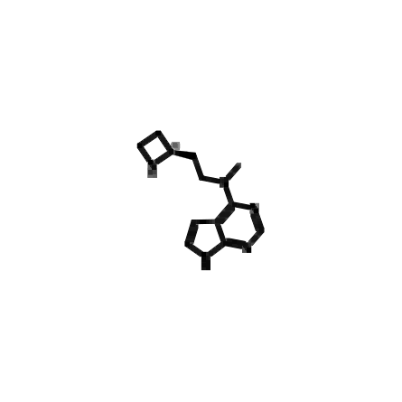 CN(CC[C@@H]1CCN1)c1ncnc2[nH]ccc12